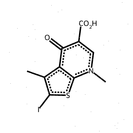 Cc1c(I)sc2c1c(=O)c(C(=O)O)cn2C